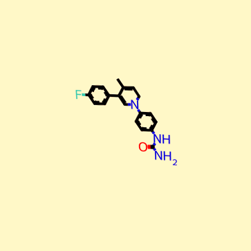 CC1=CCN(c2ccc(NC(N)=O)cc2)C=C1c1ccc(F)cc1